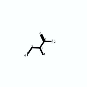 C=C(I)C(C)CI